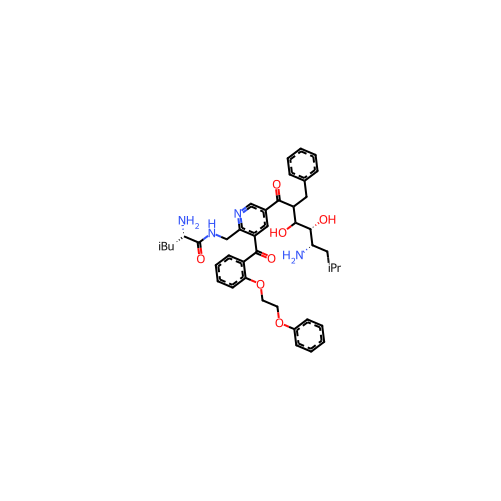 CC[C@@H](C)[C@H](N)C(=O)NCc1ncc(C(=O)C(Cc2ccccc2)C(O)[C@H](O)[C@@H](N)CC(C)C)cc1C(=O)c1ccccc1OCCOc1ccccc1